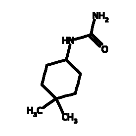 CC1(C)CCC(NC(N)=O)CC1